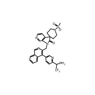 CS(=O)(=O)N1CCC2(CC1)C(=O)N(Cc1ncc3ccccc3c1-c1ccc(C(N)C(F)(F)F)nc1)c1cnccc12